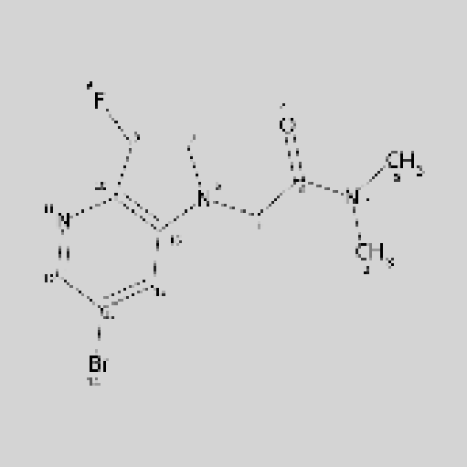 CN(C)C(=O)Cn1cc(F)c2ncc(Br)cc21